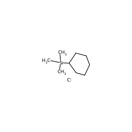 C[Si](C)(C)C1CCCCC1.[C]